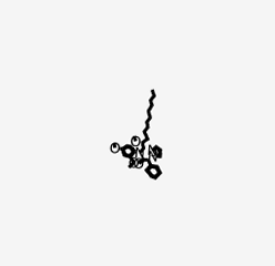 CCCCCCCCCCCCN(C(=O)C(c1ccccc1)n1cccn1)c1c(OC)cc(OC)cc1OC